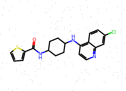 O=C(NC1CCC(Nc2ccnc3cc(Cl)ccc23)CC1)c1cccs1